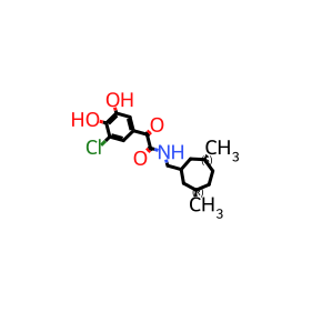 C[C@@H]1CC[C@H](C)CC(CNC(=O)C(=O)c2cc(O)c(O)c(Cl)c2)C1